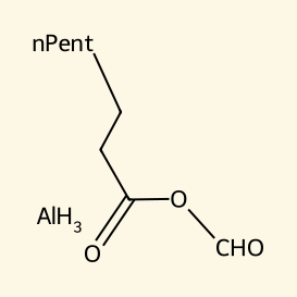 CCCCCCCC(=O)OC=O.[AlH3]